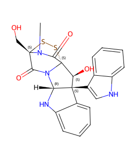 CN1C(=O)[C@]23SS[C@@]1(CO)C(=O)N2[C@H]1Nc2ccccc2[C@@]1(c1c[nH]c2ccccc12)[C@@H]3O